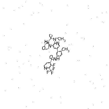 CCN1C(=O)C[C@@H]2COCCN2c2cc(-c3cc(NC(=O)c4ccnc(C(F)(F)F)c4F)ccc3C)cnc21